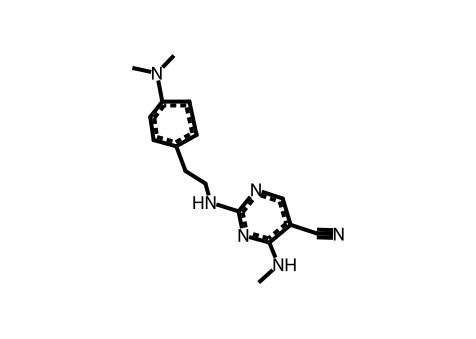 CNc1nc(NCCc2ccc(N(C)C)cc2)ncc1C#N